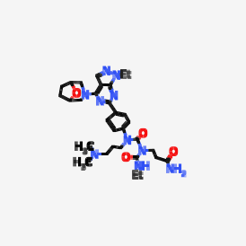 CCNC(=O)N(CCC(N)=O)C(=O)N(CCCN(C)C)c1ccc(-c2nc(N3CC4CCC(C3)O4)c3cnn(CC)c3n2)cc1